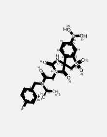 C[C@H](N(Cc1ccc(F)cc1)C(=O)CN1C(=O)NC2(CS(=O)(=O)c3cc(B(O)O)ccc32)C1=O)C(F)(F)F